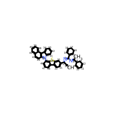 C#CC(/N=C(\N=C(/C)C1C=CC=CC1)C1=CCCC=C1)c1ccc2c(c1)sc1c(-n3c4ccccc4c4c5ccccc5ccc43)cccc12